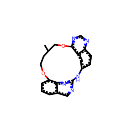 CC1CCOc2cccc3cnc(nc23)Nc2ccc3ncnc(c3c2)OC1